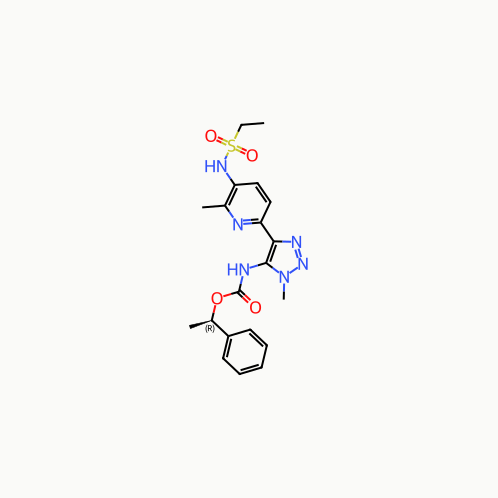 CCS(=O)(=O)Nc1ccc(-c2nnn(C)c2NC(=O)O[C@H](C)c2ccccc2)nc1C